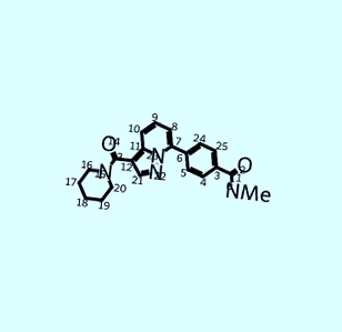 CNC(=O)c1ccc(-c2cccc3c(C(=O)N4CCCCC4)cnn23)cc1